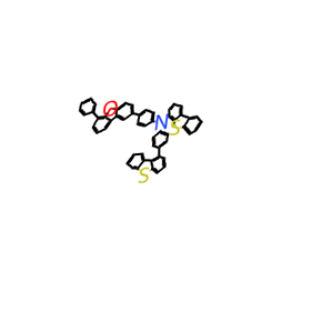 c1ccc(-c2cccc3c2oc2ccc(-c4ccc(N(c5ccc(-c6cccc7sc8ccccc8c67)cc5)c5cccc6c5sc5ccccc56)cc4)cc23)cc1